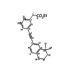 CCOC(=O)Cc1cc(C#Cc2ccc3c(c2)C(C)(C)CCS3)cnn1